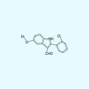 CCOc1ccc2[nH]c(-c3ccccc3Cl)c(C=O)c2c1